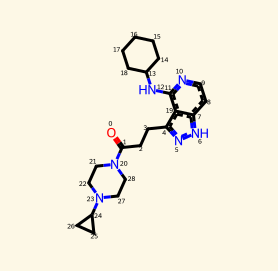 O=C(CCc1n[nH]c2ccnc(NC3CCCCC3)c12)N1CCN(C2CC2)CC1